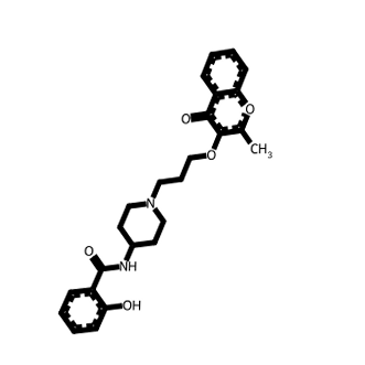 Cc1oc2ccccc2c(=O)c1OCCCN1CCC(NC(=O)c2ccccc2O)CC1